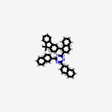 CC1(C)c2ccccc2-c2cc(-c3c(-c4nc(-c5ccc6ccccc6c5)nc(-c5ccc6ccccc6c5)n4)ccc4ccccc34)ccc21